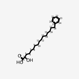 O=C(O)C(O)CCCCCCCCCCCCCCc1ccccc1